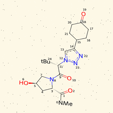 CNC(=O)[C@@H]1C[C@@H](O)CN1C(=O)[C@@H](n1cc(C2CCC(=O)CC2)nn1)C(C)(C)C